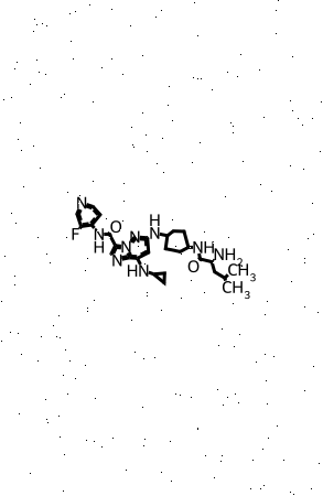 CC(C)C[C@@H](N)C(=O)NC1CCC(Nc2cc(NC3CC3)c3ncc(C(=O)Nc4ccncc4F)n3n2)CC1